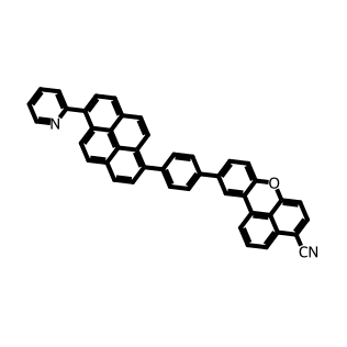 N#Cc1ccc2c3c(cccc13)-c1cc(-c3ccc(-c4ccc5ccc6c(-c7ccccn7)ccc7ccc4c5c76)cc3)ccc1O2